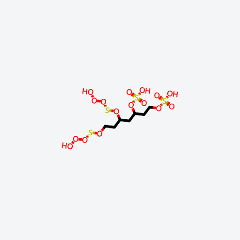 O=S(=O)(O)OCCC(CC(CCOSOOO)OSOOO)OS(=O)(=O)O